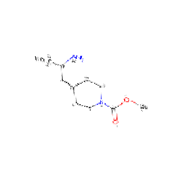 CC(C)(C)OC(=O)N1CCC(CC(N)C(=O)O)CC1